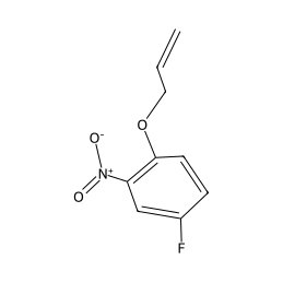 C=CCOc1ccc(F)cc1[N+](=O)[O-]